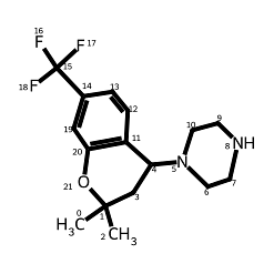 CC1(C)CC(N2CCNCC2)c2ccc(C(F)(F)F)cc2O1